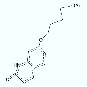 CC(=O)OCCCCOc1ccc2ccc(=O)[nH]c2c1